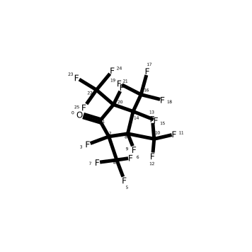 O=C1C(F)(C(F)(F)F)C(F)(C(F)(F)F)C(F)(C(F)(F)F)C1(F)C(F)(F)F